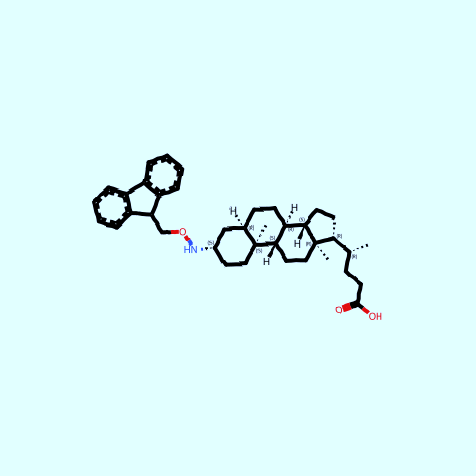 C[C@H](CCC(=O)O)[C@H]1CC[C@H]2[C@@H]3CC[C@@H]4C[C@@H](NOCC5c6ccccc6-c6ccccc65)CC[C@]4(C)[C@H]3CC[C@]12C